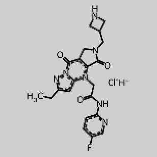 CCc1cc2n(CC(=O)Nc3ccc(F)cn3)c3c(c(=O)n2n1)CN(CC1CNC1)C3=O.[Cl-].[H+]